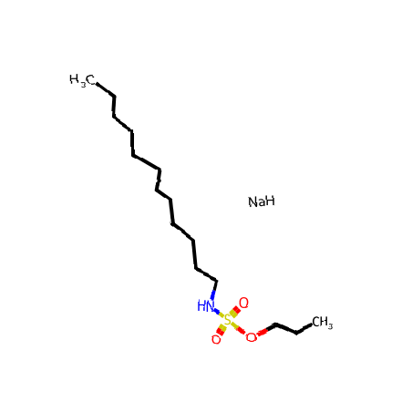 CCCCCCCCCCCCNS(=O)(=O)OCCC.[NaH]